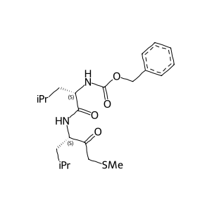 CSCC(=O)[C@H](CC(C)C)NC(=O)[C@H](CC(C)C)NC(=O)OCc1ccccc1